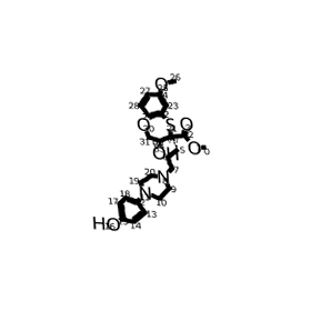 COC(=O)[C@]1(CCCN2CCN(c3ccc(O)cc3)CC2)Sc2cc(OC)ccc2OC[C@@H]1O